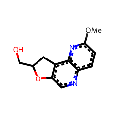 COc1ccc2ncc3c(c2n1)CC(CO)O3